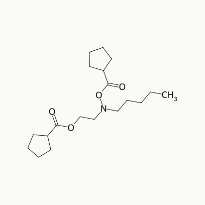 CCCCCN(CCOC(=O)C1CCCC1)OC(=O)C1CCCC1